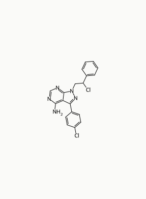 Nc1ncnc2c1c(-c1ccc(Cl)cc1)nn2CC(Cl)c1ccccc1